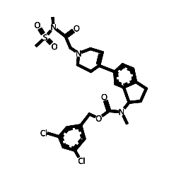 CN(C(=O)OCc1cc(Cl)cc(Cl)c1)C1CCc2ccc(C3=CCN(CC(=O)N(C)S(C)(=O)=O)CC3)cc21